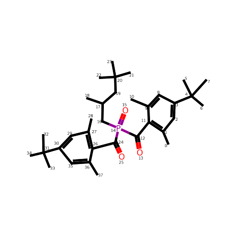 Cc1cc(C(C)(C)C)cc(C)c1C(=O)P(=O)(CC(C)CC(C)(C)C)C(=O)c1c(C)cc(C(C)(C)C)cc1C